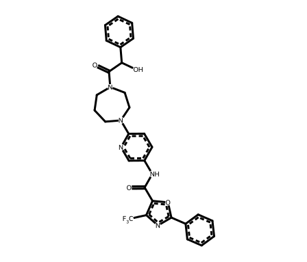 O=C(Nc1ccc(N2CCCN(C(=O)C(O)c3ccccc3)CC2)nc1)c1oc(-c2ccccc2)nc1C(F)(F)F